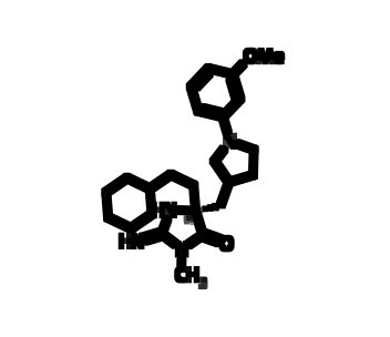 COc1cccc(N2CCC(C[C@@]3(CCC4CCCCC4)NC(=N)N(C)C3=O)C2)c1